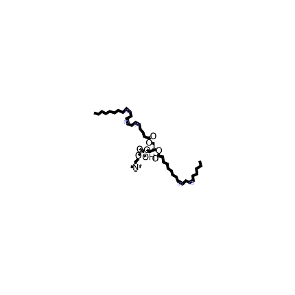 CCCCC/C=C\C/C=C\CCCCCCCC(=O)O[C@H](COC(=O)CCC/C=C\C/C=C\C/C=C\CCCCCCCC)COP(=O)(O)OCC[N+](C)(C)C